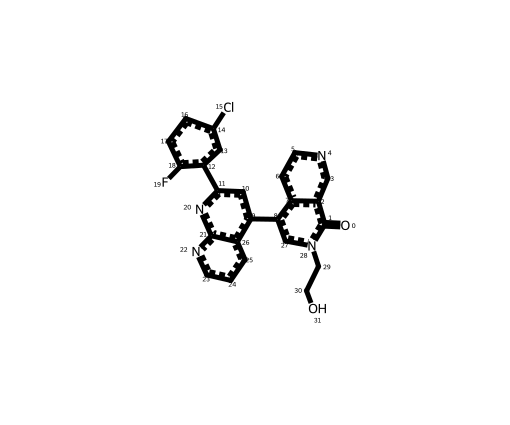 O=c1c2cnccc2c(-c2cc(-c3cc(Cl)ccc3F)nc3ncccc23)cn1CCO